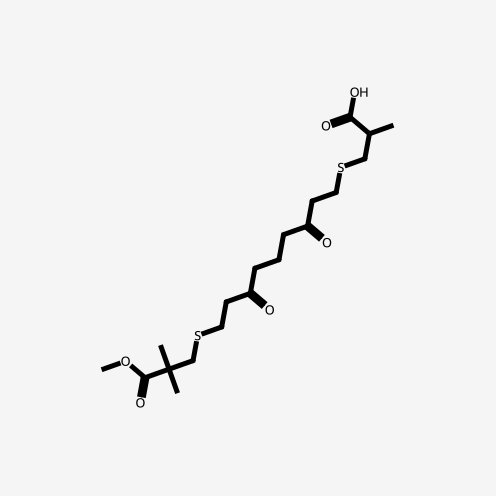 COC(=O)C(C)(C)CSCCC(=O)CCCC(=O)CCSCC(C)C(=O)O